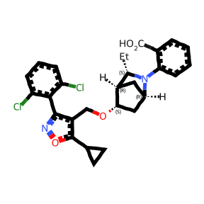 CC[C@H]1[C@H]2C[C@H](C[C@@H]2OCc2c(-c3c(Cl)cccc3Cl)noc2C2CC2)N1c1ccccc1C(=O)O